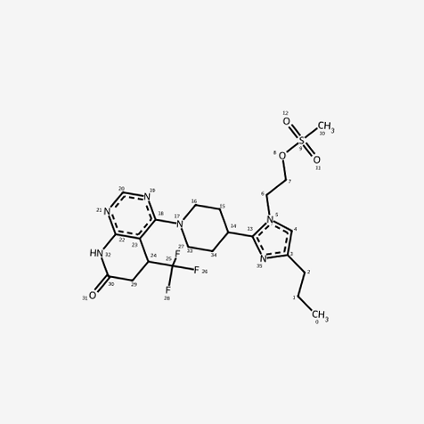 CCCc1cn(CCOS(C)(=O)=O)c(C2CCN(c3ncnc4c3C(C(F)(F)F)CC(=O)N4)CC2)n1